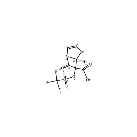 O=C(O)C1(OS(=O)(=O)C(F)(F)F)C(=O)N2C=CC[C@H]21